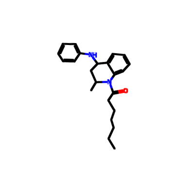 CCCCCCC(=O)N1c2ccccc2C(Nc2ccccc2)CC1C